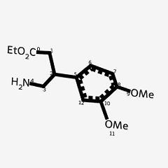 CCOC(=O)CC(CN)c1ccc(OC)c(OC)c1